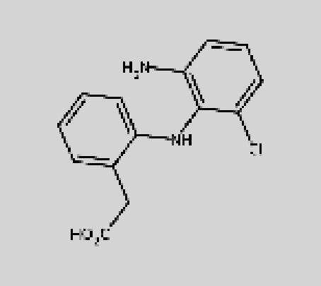 Nc1cccc(Cl)c1Nc1ccccc1CC(=O)O